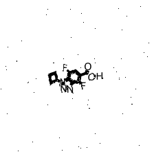 O=C(O)c1cc(F)c2c(nnn2C2CCC2)c1F